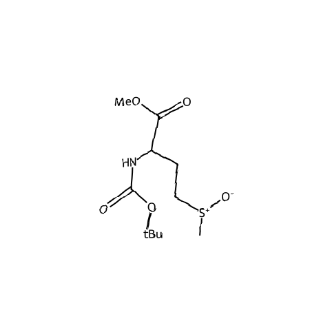 COC(=O)C(CC[S+](C)[O-])NC(=O)OC(C)(C)C